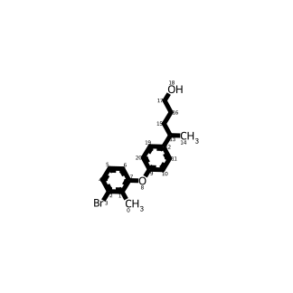 Cc1c(Br)cccc1Oc1ccc(C(C)CCCO)cc1